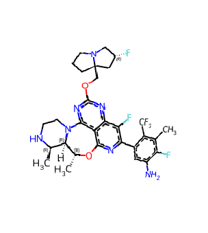 Cc1c(F)c(N)cc(-c2nc3c4c(nc(OCC56CCCN5C[C@H](F)C6)nc4c2F)N2CCN[C@H](C)[C@@H]2[C@@H](C)O3)c1C(F)(F)F